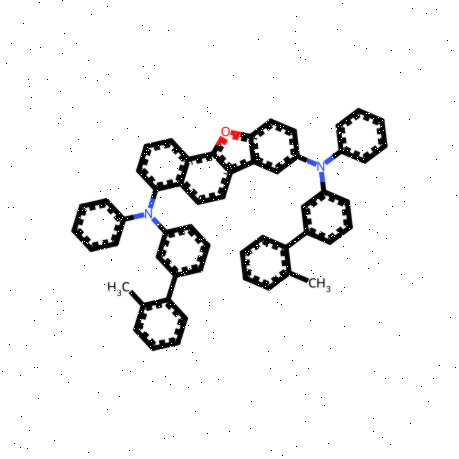 Cc1ccccc1-c1cccc(N(c2ccccc2)c2ccc3oc4c5cccc(N(c6ccccc6)c6cccc(-c7ccccc7C)c6)c5ccc4c3c2)c1